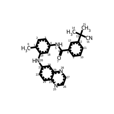 Cc1ccc(NC(=O)c2cccc(C(C)(C)C#N)c2)cc1Nc1ccc2nccnc2c1